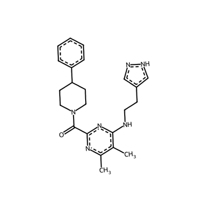 Cc1nc(C(=O)N2CCC(c3ccccc3)CC2)nc(NCCc2cn[nH]c2)c1C